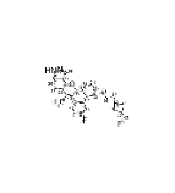 CC1=C(c2ccc(F)cc2)C(c2ccc(OCCN3CC(CF)C3)cc2)Oc2c1ccc1[nH]ncc21